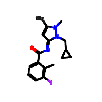 Cc1c(I)cccc1C(=O)/N=c1\cc(C(C)(C)C)n(C)n1CC1CC1